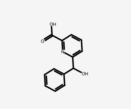 O=C(O)c1cccc(C(O)c2ccccc2)n1